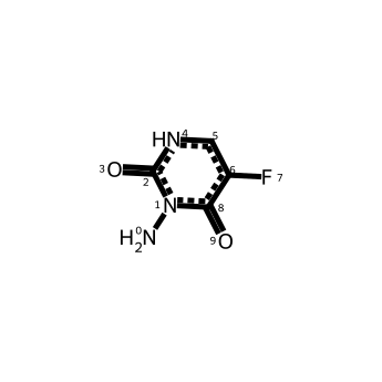 Nn1c(=O)[nH]cc(F)c1=O